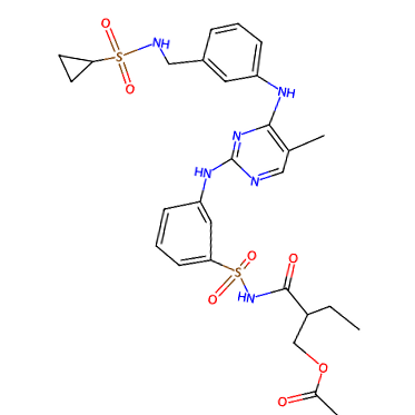 CCC(COC(C)=O)C(=O)NS(=O)(=O)c1cccc(Nc2ncc(C)c(Nc3cccc(CNS(=O)(=O)C4CC4)c3)n2)c1